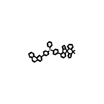 CC1(C)c2ccccc2C2(c3ccccc3-c3c(-c4ccc(N(c5ccccc5)c5ccc(-c6ccc7ccc8ccccc8c7c6)cc5)cc4)cccc32)c2ccccc21